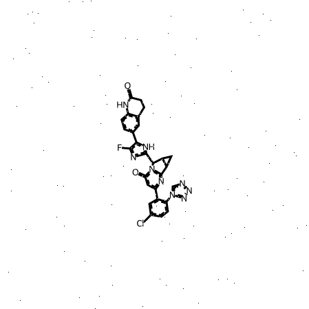 O=C1CCc2cc(-c3[nH]c(C4C5CC5c5nc(-c6cc(Cl)ccc6-n6cnnn6)cc(=O)n54)nc3F)ccc2N1